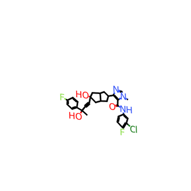 Cn1cnc(C2CC3CC(O)(C#CC(C)(O)c4ccc(F)cc4)CC3C2)c1C(=O)Nc1ccc(F)c(Cl)c1